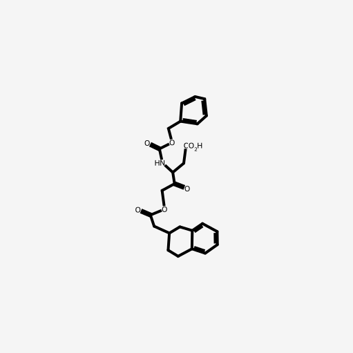 O=C(O)CC(NC(=O)OCc1ccccc1)C(=O)COC(=O)CC1CCc2ccccc2C1